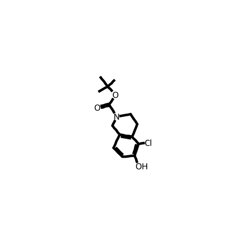 CC(C)(C)OC(=O)N1CCc2c(ccc(O)c2Cl)C1